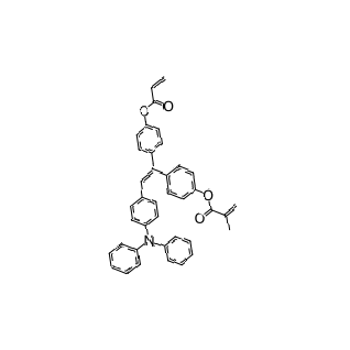 C=CC(=O)Oc1ccc(C(=Cc2ccc(N(c3ccccc3)c3ccccc3)cc2)c2ccc(OC(=O)C(=C)C)cc2)cc1